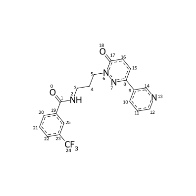 O=C(NCCCn1nc(-c2cccnc2)ccc1=O)c1cccc(C(F)(F)F)c1